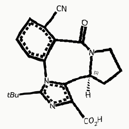 CC(C)(C)c1nc(C(=O)O)c2n1-c1cccc(C#N)c1C(=O)N1CCC[C@@H]21